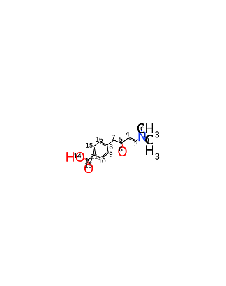 CN(C)C=CC(=O)Cc1ccc(C(=O)O)cc1